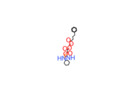 O=C(CCCc1ccccc1)OCOC(=O)C(=O)OP1NC2CCCCC2N1